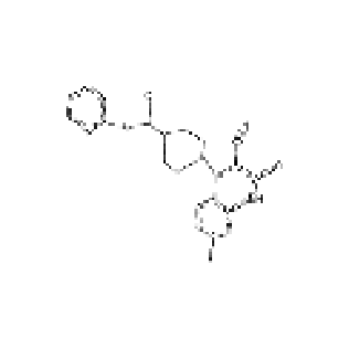 Cc1ccc2c(N3CCC(C(=O)Sc4ccccn4)CC3)c(C#N)c(=O)[nH]c2c1